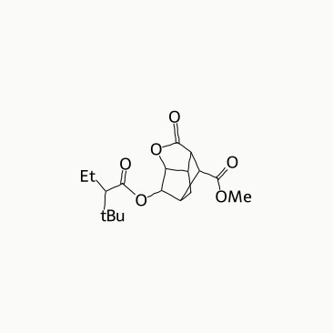 CCC(C(=O)OC1C2CC3C1OC(=O)C3C2C(=O)OC)C(C)(C)C